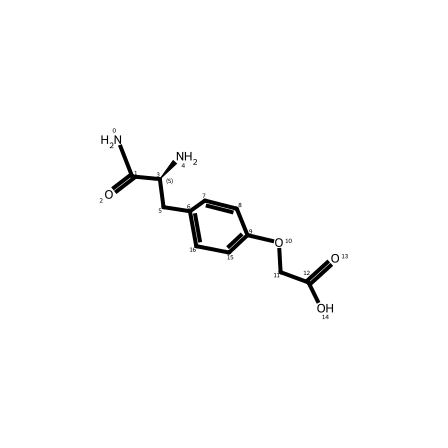 NC(=O)[C@@H](N)Cc1ccc(OCC(=O)O)cc1